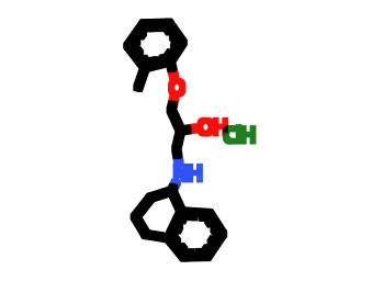 Cc1ccccc1OCC(O)CNC1CCCc2ccccc21.Cl